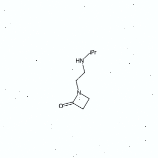 CC(C)NCCN1CCC1=O